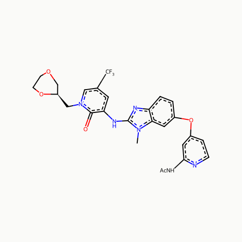 CC(=O)Nc1cc(Oc2ccc3nc(Nc4cc(C(F)(F)F)cn(C[C@@H]5COCCO5)c4=O)n(C)c3c2)ccn1